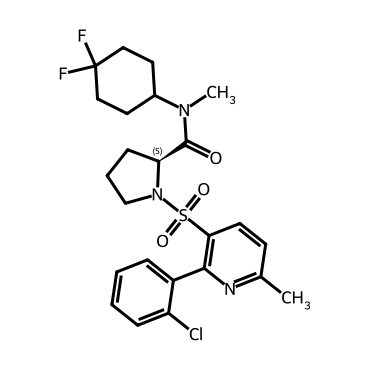 Cc1ccc(S(=O)(=O)N2CCC[C@H]2C(=O)N(C)C2CCC(F)(F)CC2)c(-c2ccccc2Cl)n1